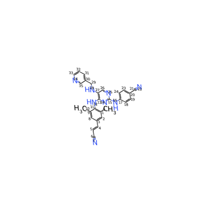 Cc1cc(/C=C/C#N)cc(C)c1Nc1nc(Nc2ccc(C#N)cc2)ncc1NCc1cccnc1